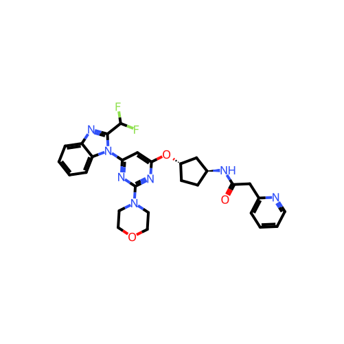 O=C(Cc1ccccn1)N[C@H]1CC[C@H](Oc2cc(-n3c(C(F)F)nc4ccccc43)nc(N3CCOCC3)n2)C1